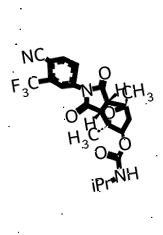 CC(C)NC(=O)O[C@@H]1C[C@@]2(C)O[C@]1(C)[C@@H]1C(=O)N(c3ccc(C#N)c(C(F)(F)F)c3)C(=O)[C@@H]12